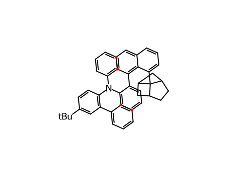 CC(C)(C)c1ccc(N(c2ccccc2)c2ccccc2-c2cccc3cccc(C45C6CCC4CC5C6)c23)c(-c2ccccc2)c1